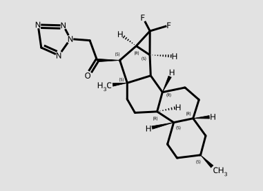 C[C@H]1CC[C@H]2[C@H](CC[C@H]3C4[C@H]5[C@@H]([C@H](C(=O)Cn6ncnn6)[C@@]4(C)CC[C@H]23)C5(F)F)C1